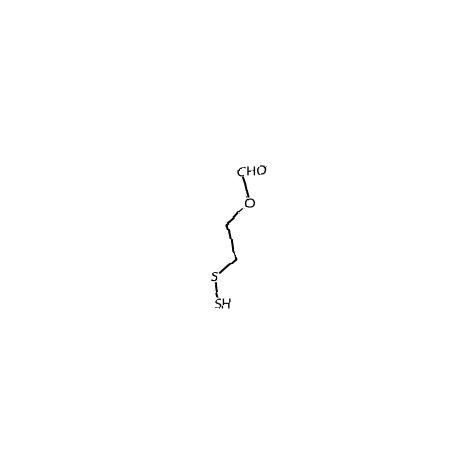 O=COCCSS